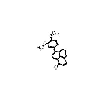 COc1ccc(-c2ccc3c4c(cccc24)C=CC3=O)cc1OC